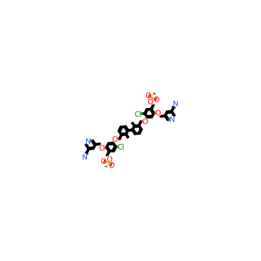 Cc1c(COc2cc(OCc3cncc(C#N)c3)c(COS(C)(=O)=O)cc2Cl)cccc1-c1cccc(COc2cc(OCc3cncc(C#N)c3)c(COS(C)(=O)=O)cc2Cl)c1C